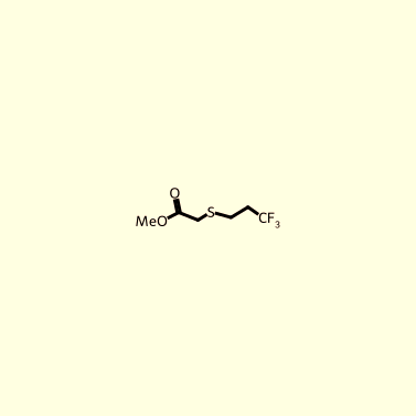 COC(=O)CSCCC(F)(F)F